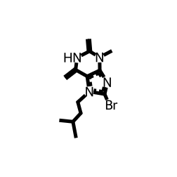 C=C1NC(=C)N(C)c2nc(Br)n(CCC(C)C)c21